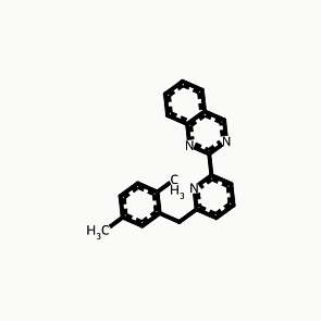 Cc1ccc(C)c(Cc2cccc(-c3ncc4ccccc4n3)n2)c1